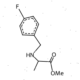 COC(=O)C(C)NCc1ccc(F)cc1